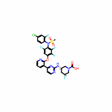 CS(=O)(=O)N(c1ccc(Cl)cc1F)c1c(F)cc(Oc2ncccc2-c2ccnc(N[C@H]3C[C@H](F)CN(C(=O)O)C3)n2)c(F)c1F